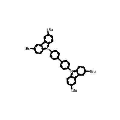 CC(C)(C)c1ccc2c(c1)c1cc(C(C)(C)C)ccc1n2-c1ccc(-c2ccc(-n3c4ccc(C(C)(C)C)cc4c4cc(C(C)(C)C)ccc43)cc2)cc1